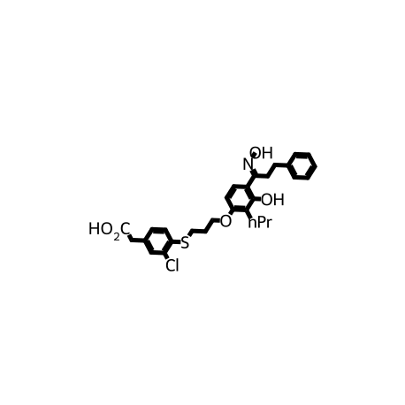 CCCc1c(OCCCSc2ccc(CC(=O)O)cc2Cl)ccc(C(CCc2ccccc2)=NO)c1O